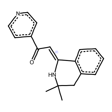 CC1(C)Cc2ccccc2/C(=C/C(=O)c2ccncc2)N1